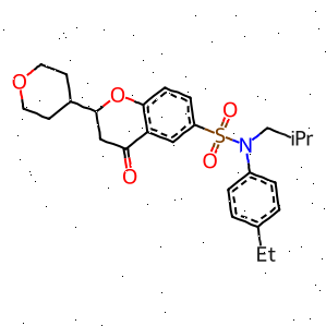 CCc1ccc(N(CC(C)C)S(=O)(=O)c2ccc3c(c2)C(=O)CC(C2CCOCC2)O3)cc1